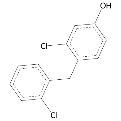 Oc1ccc(Cc2ccccc2Cl)c(Cl)c1